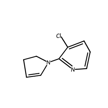 Clc1cccnc1N1C=CCC1